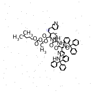 CC(C)CCCOC(=O)OC(C)OC(=O)C1=C(/C=C\c2cccnc2)CS[C@H]2[C@H](NC(=O)C(=NOC(c3ccccc3)(c3ccccc3)c3ccccc3)c3csc(NC(c4ccccc4)(c4ccccc4)c4ccccc4)n3)C(=O)N12